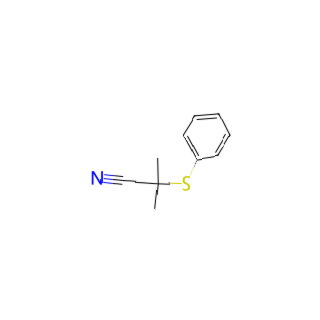 CC(C)(C#N)Sc1ccccc1